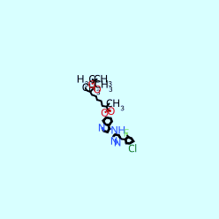 CCC(CCCCCC(C)C(=O)Oc1ccc2c(Nc3cnnc(-c4cc(Cl)ccc4F)c3)ccnc2c1)C(=O)OC(C)(C)C